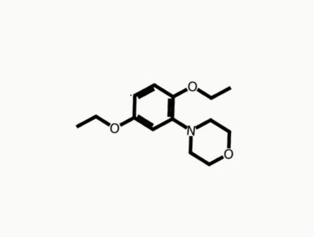 CCOc1[c]cc(OCC)c(N2CCOCC2)c1